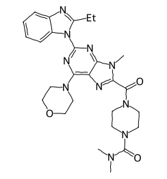 CCc1nc2ccccc2n1-c1nc(N2CCOCC2)c2nc(C(=O)N3CCN(C(=O)N(C)C)CC3)n(C)c2n1